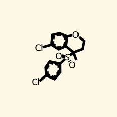 CC1(S(=O)(=O)c2ccc(Cl)cc2)CCOc2ccc(Cl)cc21